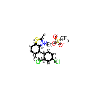 CC[n+]1c(C)sc2ccc(OC)c(-c3ccc(Cl)cc3Cl)c21.O=S(=O)([O-])C(F)(F)F